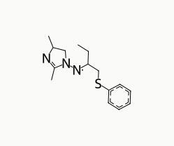 CCC(CSc1ccccc1)[N]N1CC(C)N=C1C